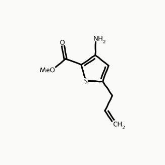 C=CCc1cc(N)c(C(=O)OC)s1